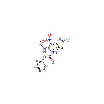 CN/C(=N\[N+](=O)[O-])N(Cc1cnc(Cl)s1)C(=O)Oc1ccccc1